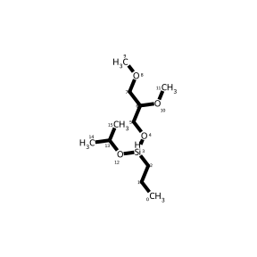 CCC[SiH](OCC(COC)OC)OC(C)C